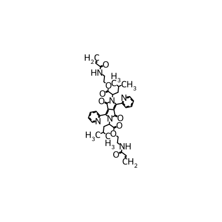 C=CC(=O)NCCOC(=O)C(CC(C)C)N1C(=O)C2=C(c3ccccn3)N(C(CC(C)C)C(=O)OCCNC(=O)C=C)C(=O)C2=C1c1ccccn1